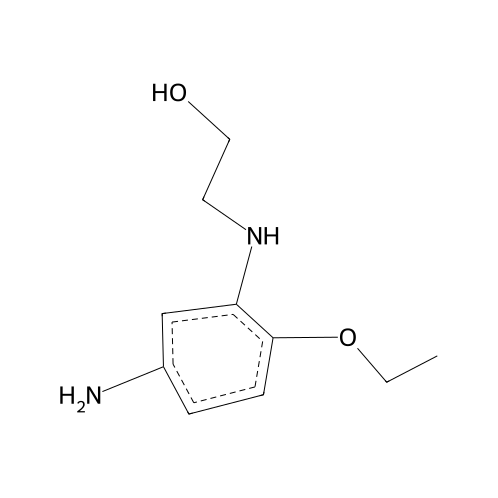 CCOc1ccc(N)cc1NCCO